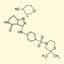 CC1(C)CN(S(=O)(=O)c2ccc(Nc3nn([C@H]4COCCC4C#N)c4cc[nH]c(=O)c34)cc2)CCO1